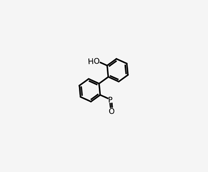 O=Pc1ccccc1-c1ccccc1O